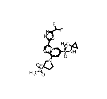 CC1(NS(=O)(=O)c2cc(N3CC[C@@H](S(C)(=O)=O)C3)c3ncc(-c4nnc(C(F)F)s4)n3c2)CC1